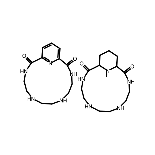 O=C1NCCNCCNCCNC(=O)C2CCCC1N2.O=C1NCCNCCNCCNC(=O)c2cccc1n2